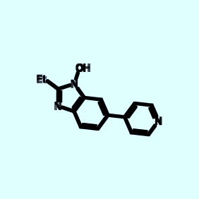 CCc1nc2ccc(-c3ccncc3)cc2n1O